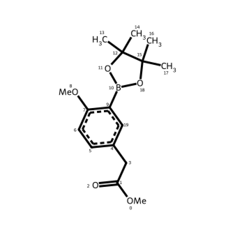 COC(=O)Cc1ccc(OC)c(B2OC(C)(C)C(C)(C)O2)c1